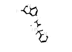 CSC(Oc1ccc2ncc(Br)cc2c1)C(=O)NC(C)(C)c1ccccn1